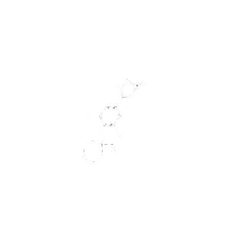 CC(Nc1cc(-c2n[nH]c(=O)o2)ccc1C(F)(F)F)C1(F)CCNCC1.Cl